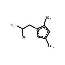 Cc1cc([N+](=O)[O-])n(CC(C)O)n1